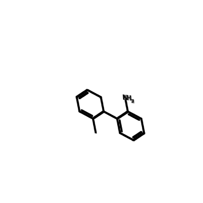 CC1=CC=CCC1c1ccccc1N